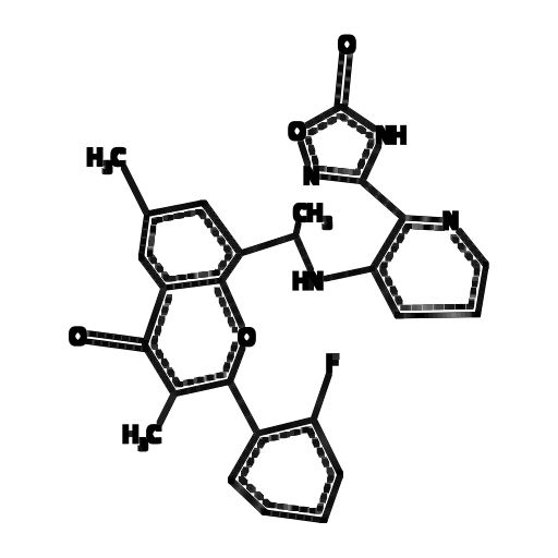 Cc1cc(C(C)Nc2cccnc2-c2noc(=O)[nH]2)c2oc(-c3ccccc3F)c(C)c(=O)c2c1